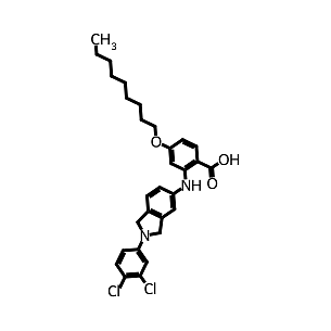 CCCCCCCCCOc1ccc(C(=O)O)c(Nc2ccc3c(c2)CN(c2ccc(Cl)c(Cl)c2)C3)c1